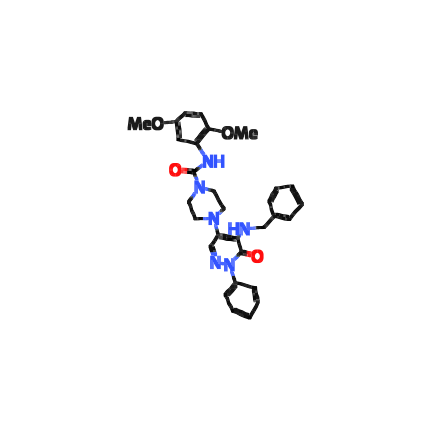 COc1ccc(OC)c(NC(=O)N2CCN(c3cnn(-c4ccccc4)c(=O)c3NCc3ccccc3)CC2)c1